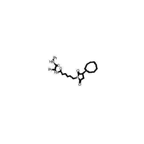 CC(C)NC(=O)C(NC(=O)CCCCCN1C(=O)CC(C2CCCCCCCC2)C1=O)C(C)C